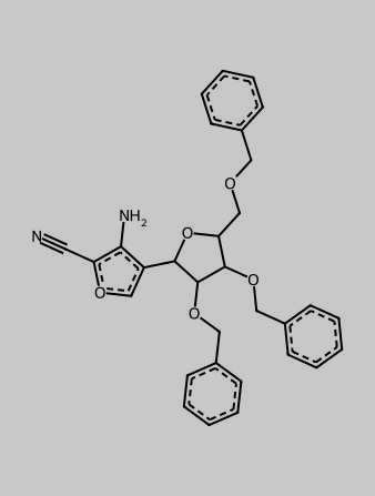 N#Cc1occ(C2OC(COCc3ccccc3)C(OCc3ccccc3)C2OCc2ccccc2)c1N